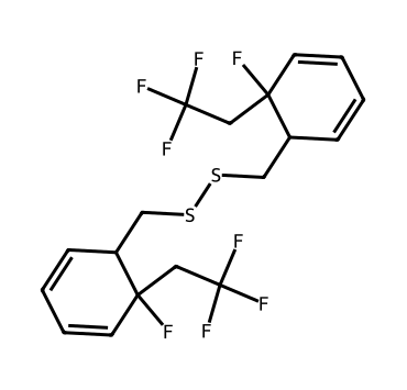 FC(F)(F)CC1(F)C=CC=CC1CSSCC1C=CC=CC1(F)CC(F)(F)F